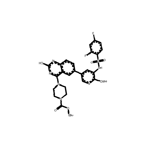 COc1ncc(-c2ccc3nc(O)nc(N4CCN(C(=O)OC(C)(C)C)CC4)c3c2)cc1NS(=O)(=O)c1ccc(F)cc1F